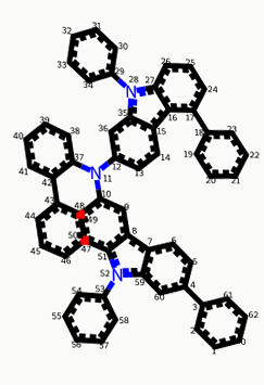 c1ccc(-c2ccc3c4cc(N(c5ccc6c7c(-c8ccccc8)cccc7n(-c7ccccc7)c6c5)c5ccccc5-c5ccccc5)ccc4n(-c4ccccc4)c3c2)cc1